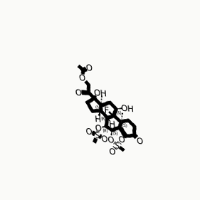 CC(=O)OCC(=O)[C@@]1(O)CC[C@H]2[C@@H]3[C@@H](OS(C)(=O)=O)[C@@H](OS(C)(=O)=O)C4=CC(=O)CC[C@]4(C)[C@@]3(F)[C@@H](O)C[C@@]21C